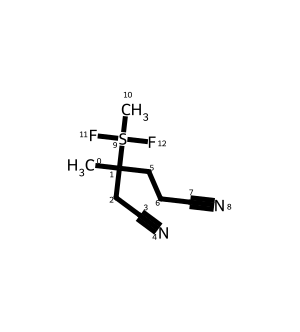 CC(CC#N)(CCC#N)S(C)(F)F